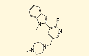 CN1CCN(Cc2cnc(F)c(-c3cc4ccccc4n3C)c2)CC1